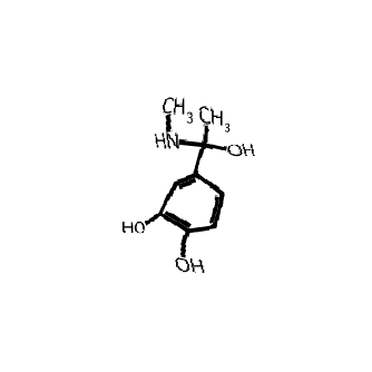 CNC(C)(O)c1ccc(O)c(O)c1